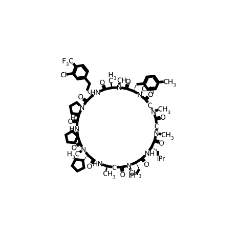 Cc1ccc(C[C@H]2C(=O)N(C)[C@H](C)C(=O)N[C@@H](CCc3ccc(C(F)(F)F)c(Cl)c3)C(=O)N3CCC[C@H]3C(=O)NC3(CCCC3)C(=O)N(C)[C@@H](C3CCCC3)C(=O)N[C@H](C)CC(=O)N(C)[C@@H](CC(C)C)C(=O)N[C@@H](CC(C)C)C(=O)N(C)CC(=O)N(C)CC(=O)N2C)cc1